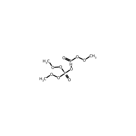 COO[PH](=O)OP(=O)(OOC)OOC